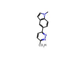 Cn1ccc2cc(-c3ccc(C(=O)O)nn3)ccc21